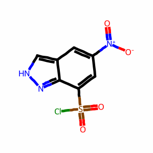 O=[N+]([O-])c1cc(S(=O)(=O)Cl)c2n[nH]cc2c1